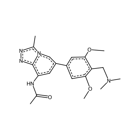 COc1cc(-c2cc(NC(C)=O)c3nnc(C)n3c2)cc(OC)c1CN(C)C